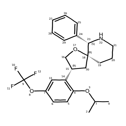 CC(C)Oc1ccc(OC(F)(F)F)cc1[C@@H]1CO[C@]2(CCCN[C@H]2c2ccccc2)C1